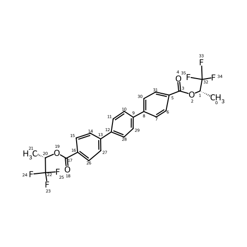 C[C@H](OC(=O)c1ccc(-c2ccc(-c3ccc(C(=O)O[C@@H](C)C(F)(F)F)cc3)cc2)cc1)C(F)(F)F